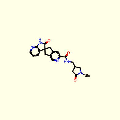 CC(C)(C)N1CC(CNC(=O)c2cc3c(cn2)CC2(C3)C(=O)Nc3ncccc32)CC1=O